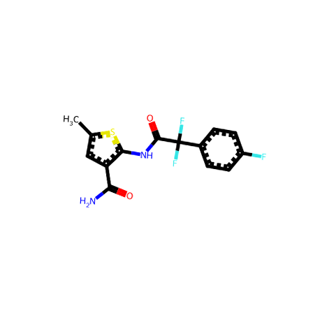 Cc1cc(C(N)=O)c(NC(=O)C(F)(F)c2ccc(F)cc2)s1